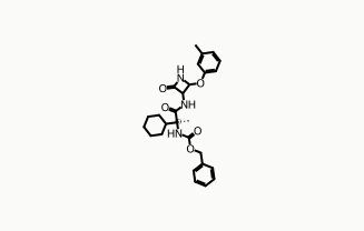 Cc1cccc(OC2NC(=O)C2NC(=O)[C@@](C)(NC(=O)OCc2ccccc2)C2CCCCC2)c1